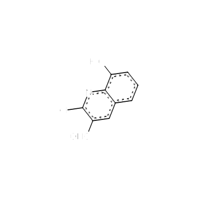 O=Cc1cc2cccc(C(F)(F)F)c2nc1Cl